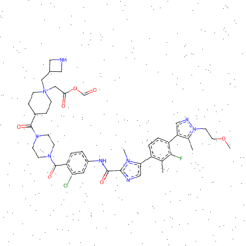 COCCn1ncc(-c2ccc(-c3cnc(C(=O)Nc4ccc(C(=O)N5CCN(C(=O)C6CC[N+](CC(=O)OC=O)(CC7CNC7)CC6)CC5)c(Cl)c4)n3C)c(C)c2F)c1C